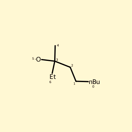 CCCCCCC(C)([O])CC